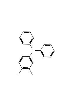 Cc1ccc(P(c2ccccc2)c2ccccc2)cc1C